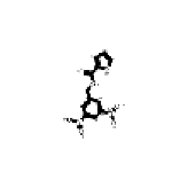 O=C(OCc1cc([N+](=O)[O-])cc([N+](=O)[O-])c1)c1cccs1